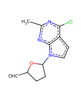 Cc1nc(Cl)c2ccn(C3CCC(C=O)O3)c2n1